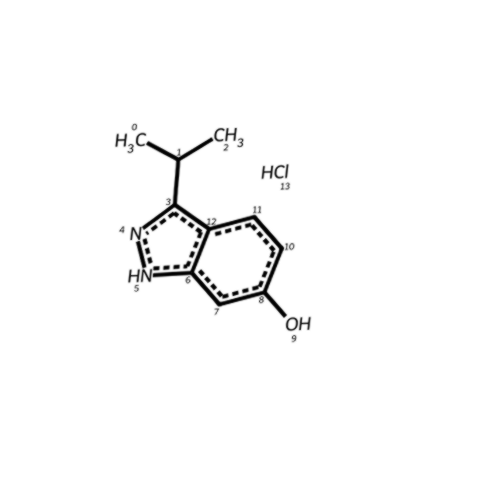 CC(C)c1n[nH]c2cc(O)ccc12.Cl